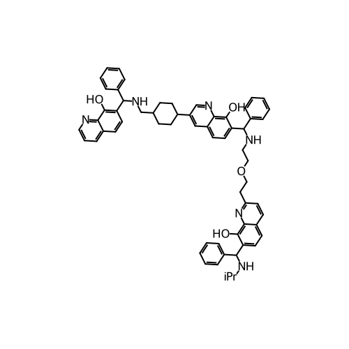 CC(C)NC(c1ccccc1)c1ccc2ccc(CCOCCNC(c3ccccc3)c3ccc4cc(C5CCC(CNC(c6ccccc6)c6ccc7cccnc7c6O)CC5)cnc4c3O)nc2c1O